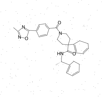 Cc1noc(-c2ccc(C(=O)N3CCC(C(=O)N[C@@H](C)C4=CC=CCC4)(C4=CC=CCC4)CC3)cc2)n1